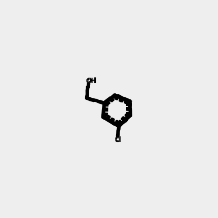 OCc1c[c]cc(Cl)c1